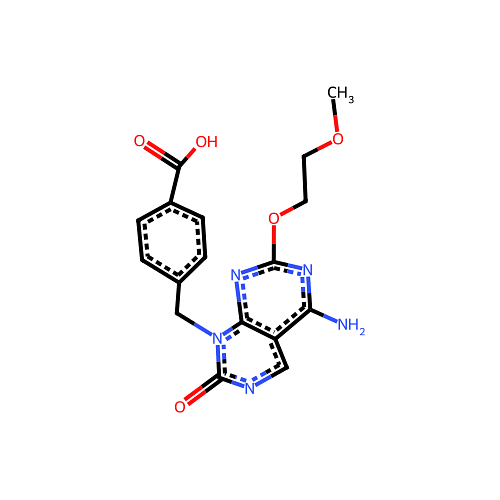 COCCOc1nc(N)c2cnc(=O)n(Cc3ccc(C(=O)O)cc3)c2n1